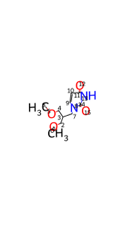 COCC(COC)Cn1ccc(=O)[nH]c1=O